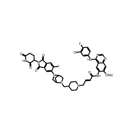 COc1cc2ncnc(Nc3ccc(F)c(Cl)c3)c2cc1NC(=O)/C=C/CN1CCC(CN2CC3CC2CN3c2cc3c(cc2F)C(=O)N(C2CCC(=O)NC2=O)C3=O)CC1